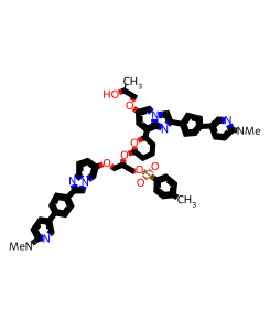 CNc1ccc(-c2ccc(-c3cn4cc(OCC(COS(=O)(=O)c5ccc(C)cc5)OC5CCCC(c6cc(OC[C@@H](C)O)cn7cc(-c8ccc(-c9ccc(NC)nc9)cc8)nc67)O5)ccc4n3)cc2)cn1